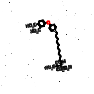 O=C(O)c1ccc(Oc2ccc(CCCCCCCCCCCC(C(=O)O)C(C(=O)O)(C(=O)O)C(=O)O)cc2)cc1C(=O)O